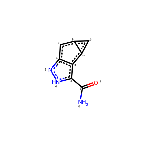 NC(=O)c1[nH]nc2cc3cc-3c12